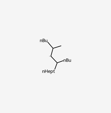 CCCCCCCC([CH]C(C)CCCC)CCCC